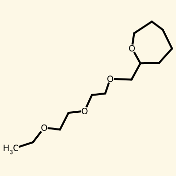 CCOCCOCCOCC1CCCCCO1